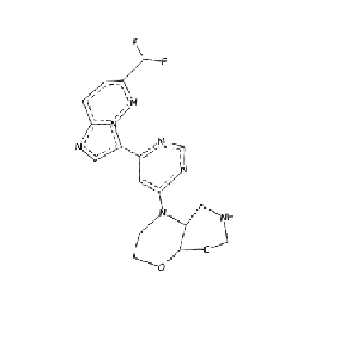 FC(F)c1ccc2ncc(-c3cc(N4CCOC5CCNCC54)ncn3)n2n1